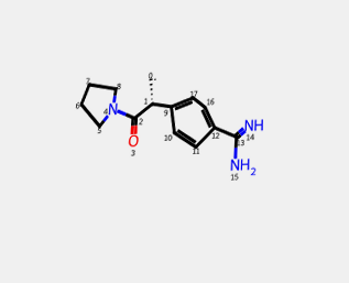 [CH2][C@@H](C(=O)N1CCCC1)c1ccc(C(=N)N)cc1